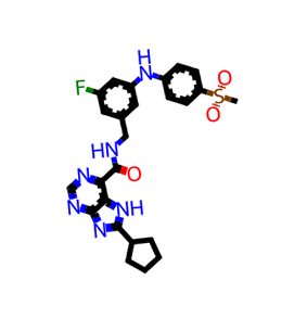 CS(=O)(=O)c1ccc(Nc2cc(F)cc(CNC(=O)c3ncnc4nc(C5CCCC5)[nH]c34)c2)cc1